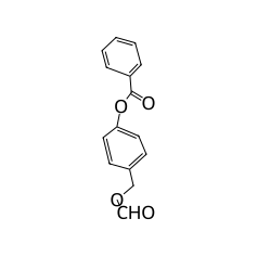 O=COCc1ccc(OC(=O)c2ccccc2)cc1